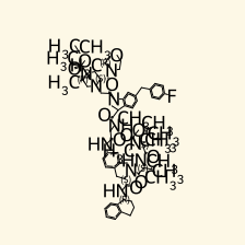 C[C@@H]1COCCN1C[C@H]1CN(C(=O)OC(C)(C)C)[C@H](C)CN1CC(=O)N1CC(C)(C(=O)NCC(=O)Nc2ccc3c(c2)CN(C(=O)[C@@H](NC(=O)[C@H](C)N(C)C(=O)OC(C)(C)C)C(C)(C)C)[C@H](C(=O)N[C@@H]2CCCc4ccccc42)C3)c2ccc(Cc3ccc(F)cc3)cc21